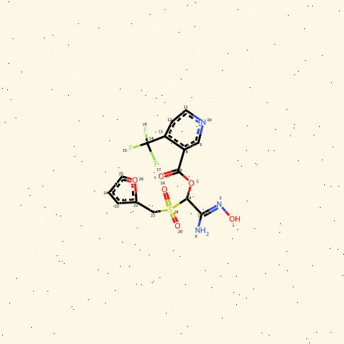 NC(=NO)C(OC(=O)c1cnccc1C(F)(F)F)S(=O)(=O)Cc1ccco1